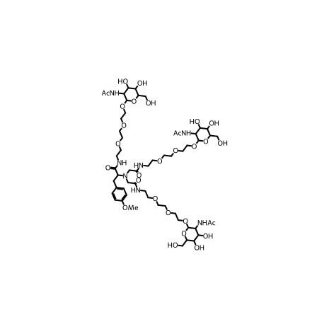 COc1ccc(CC(C(=O)NCCOCCOCCOC2OC(CO)C(O)C(O)C2NC(C)=O)N(CC(=O)NCCOCCOCCOC2OC(CO)C(O)C(O)C2NC(C)=O)CC(=O)NCCOCCOCCOC2OC(CO)C(O)C(O)C2NC(C)=O)cc1